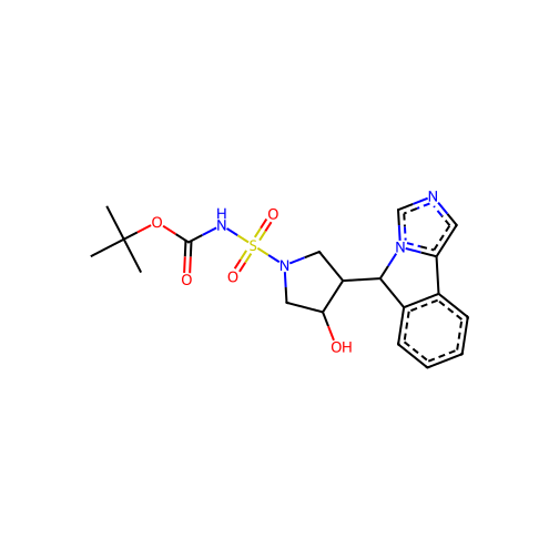 CC(C)(C)OC(=O)NS(=O)(=O)N1CC(O)C(C2c3ccccc3-c3cncn32)C1